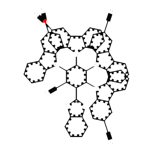 N#Cc1ccc2c(c1)c1ccccc1n2-c1c(C#N)c(-c2nc3ccccc3s2)c(-n2c3ccccc3c3cc(C#N)ccc32)c(-n2c3ccccc3c3cc(C#N)ccc32)c1-n1c2ccccc2c2cc(C#N)ccc21